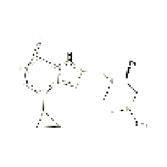 CC(C)[C@H]1CN(C)CCN1Cc1cc2c(C3CC3)c[nH]c(=O)c2[nH]1